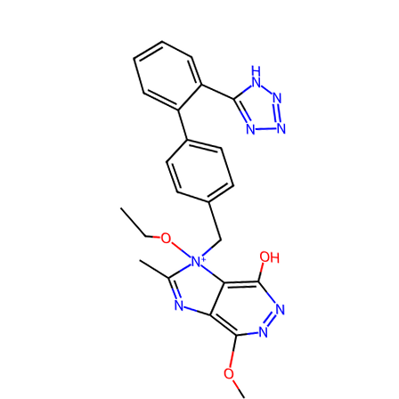 CCO[N+]1(Cc2ccc(-c3ccccc3-c3nnn[nH]3)cc2)C(C)=Nc2c(OC)nnc(O)c21